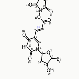 CCC1OC(n2cc(/C=C/C(=O)ON3C(=O)CCC3=O)c(=O)[nH]c2=O)CC1O